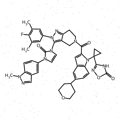 Cc1cc(-n2nc3c(c2-n2ccn(-c4ccc5c(cnn5C)c4)c2=O)CN(C(=O)c2cc4cc(C5CCOCC5)ccc4n2C2(c4noc(=O)[nH]4)CC2)CC3)cc(C)c1F